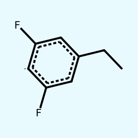 CCc1cc(F)[c]c(F)c1